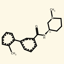 Cc1ccccc1-c1cccc(C(=O)N[C@@H]2CCCN(C)C2)c1